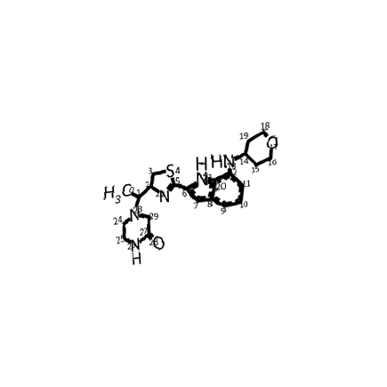 CC(C1CSC(c2cc3cccc(NC4CCOCC4)c3[nH]2)=N1)N1CCNC(=O)C1